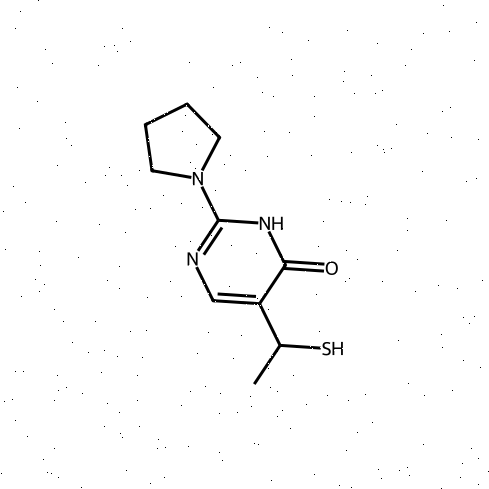 CC(S)c1cnc(N2CCCC2)[nH]c1=O